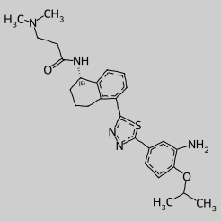 CC(C)Oc1ccc(-c2nnc(-c3cccc4c3CCC[C@@H]4NC(=O)CCN(C)C)s2)cc1N